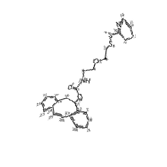 O=C(NCCOCCSSc1ccccn1)OC1Cc2ccccc2/C=C\c2ccccc21